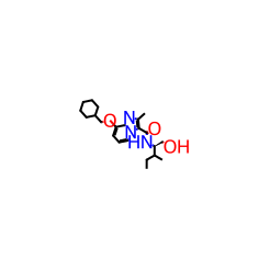 CCC(C)[C@H](CO)NC(=O)c1c(C)nc2c(OCC3CCCCC3)cccn12